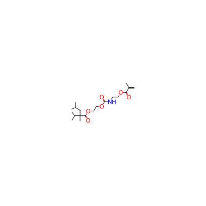 C=C(C)C(=O)OCCNC(=O)OCCOC(=O)C(C)(CC(C)C)C(C)C